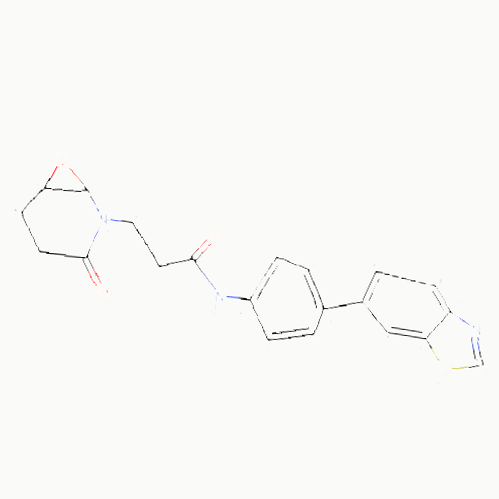 O=C(CCN1C(=O)CCC2OC21)Nc1ccc(-c2ccc3ncsc3c2)cc1